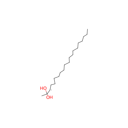 CCCCCCCCCCCCCCCCC[CH]C(C)(O)O